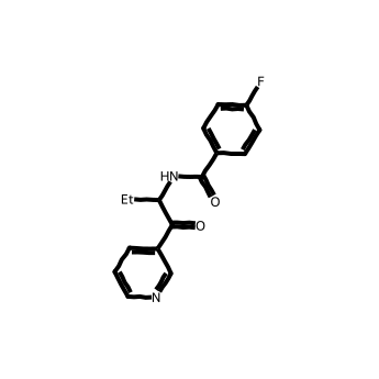 CCC(NC(=O)c1ccc(F)cc1)C(=O)c1cccnc1